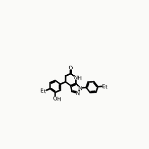 CCc1ccc(-n2ncc3c2NC(=O)CC3c2ccc(CC)c(O)c2)cc1